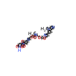 CN(CCCO[C@H]1C[C@H](Oc2ccc(-c3ccc4c5cnccc5n(C)c4c3)cn2)C1)C(=O)COCC1CN(c2ccc3c(c2)C(=O)N(C2CCC(=O)NC2=O)C3=O)C1